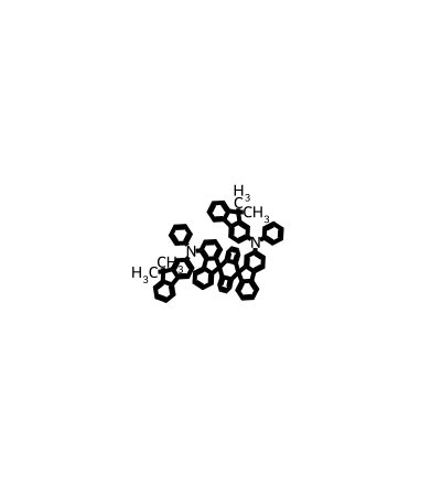 CC1(C)c2ccccc2-c2ccc(N(c3ccccc3)c3ccc4c(c3)C3(c5ccccc5-4)c4ccccc4C4(c5ccccc5-c5c(N(c6ccccc6)c6ccc7c(c6)C(C)(C)c6ccccc6-7)cccc54)c4ccccc43)cc21